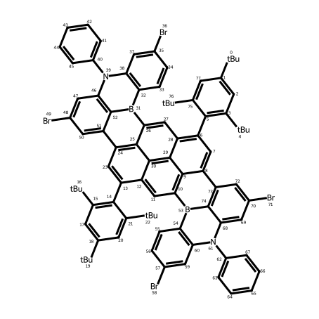 CC(C)(C)c1cc(C(C)(C)C)c(-c2cc3c4c(cc5c(-c6c(C(C)(C)C)cc(C(C)(C)C)cc6C(C)(C)C)cc6c7c(cc2c4c57)B2c4ccc(Br)cc4N(c4ccccc4)c4cc(Br)cc-6c42)B2c4ccc(Br)cc4N(c4ccccc4)c4cc(Br)cc-3c42)c(C(C)(C)C)c1